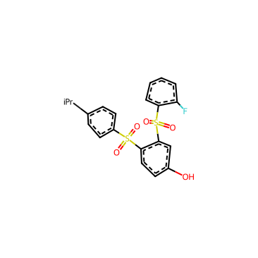 CC(C)c1ccc(S(=O)(=O)c2ccc(O)cc2S(=O)(=O)c2ccccc2F)cc1